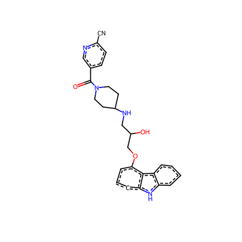 N#Cc1ccc(C(=O)N2CCC(NCC(O)COc3cccc4[nH]c5ccccc5c34)CC2)cn1